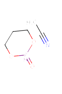 CC#N.O=[PH]1OCCCO1